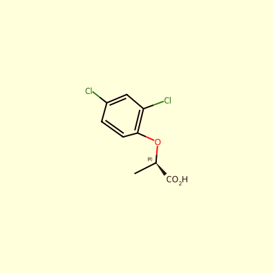 C[C@@H](Oc1ccc(Cl)cc1Cl)C(=O)O